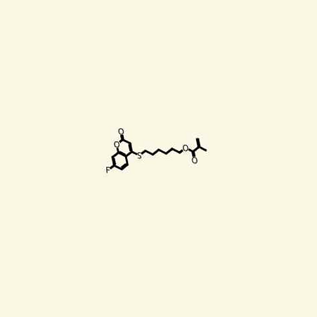 C=C(C)C(=O)OCCCCCCSc1cc(=O)oc2cc(F)ccc12